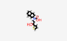 O=C(O)N(CCC(O)c1cccs1)c1ccc2ccccc2c1